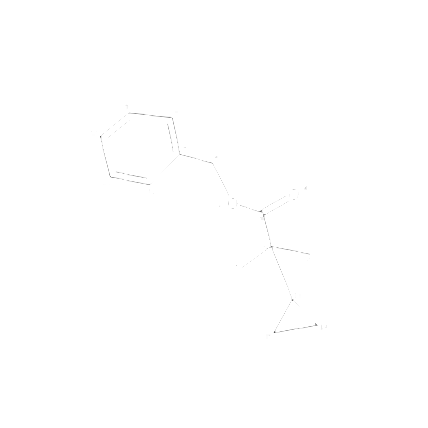 CC(C)(C(=O)OCc1ccccc1)C1CC1